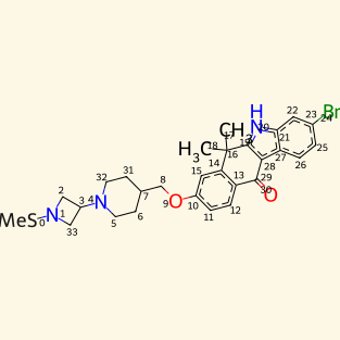 CSN1CC(N2CCC(COc3ccc4c(c3)C(C)(C)c3[nH]c5cc(Br)ccc5c3C4=O)CC2)C1